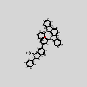 CN1c2cc(-c3cccc(-n4c5ccccc5c5ccc6c7ccccc7n(-c7ccccc7)c6c54)c3)ccc2SC1c1ccccc1